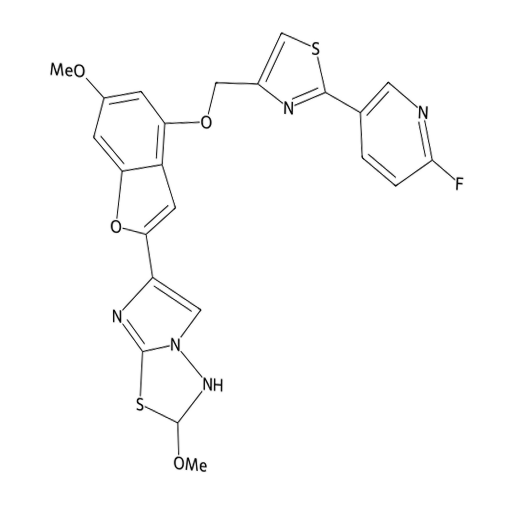 COc1cc(OCc2csc(-c3ccc(F)nc3)n2)c2cc(-c3cn4c(n3)SC(OC)N4)oc2c1